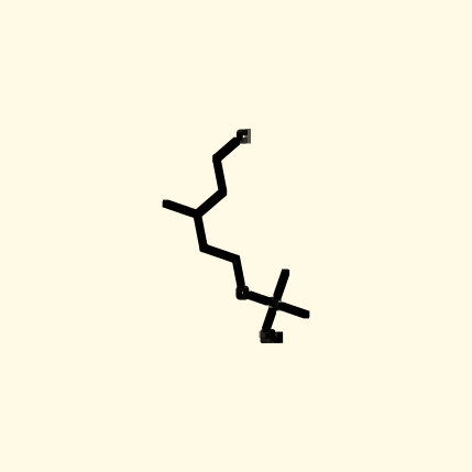 CC(CCCl)CCO[Si](C)(C)C(C)(C)C